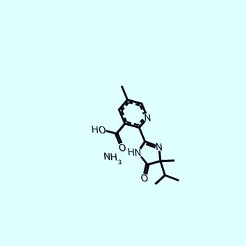 Cc1cnc(C2=NC(C)(C(C)C)C(=O)N2)c(C(=O)O)c1.N